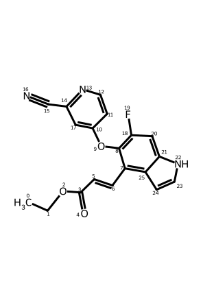 CCOC(=O)/C=C/c1c(Oc2ccnc(C#N)c2)c(F)cc2[nH]ccc12